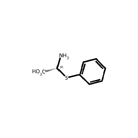 N[C@H](Sc1ccccc1)C(=O)O